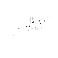 CC(C)(C)OC(=O)N1CCCC(n2nc(-c3cnn(Cc4cc(F)cc(C(F)(F)F)c4)c3)c(C#N)c2N)CCC1